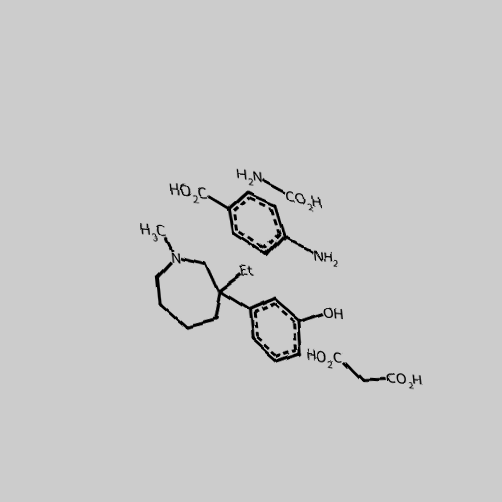 CCC1(c2cccc(O)c2)CCCCN(C)C1.NC(=O)O.Nc1ccc(C(=O)O)cc1.O=C(O)CC(=O)O